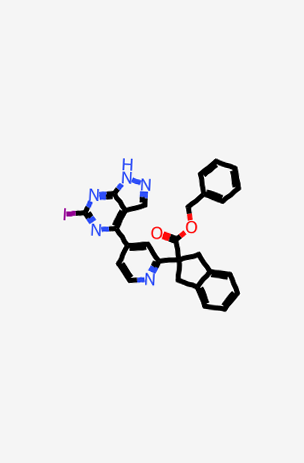 O=C(OCc1ccccc1)C1(c2cc(-c3nc(I)nc4[nH]ncc34)ccn2)Cc2ccccc2C1